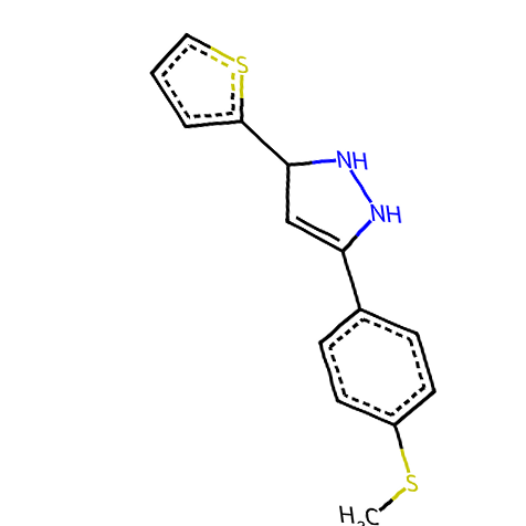 CSc1ccc(C2=CC(c3cccs3)NN2)cc1